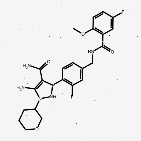 COc1ccc(F)cc1C(=O)NCc1ccc(C2NN(C3CCCOC3)C(N)=C2C(N)=O)c(F)c1